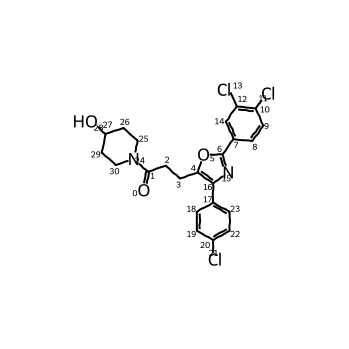 O=C(CCc1oc(-c2ccc(Cl)c(Cl)c2)nc1-c1ccc(Cl)cc1)N1CCC(O)CC1